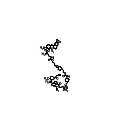 C=c1c(OC(=O)N(C)CCNC(=O)OCCCN2CC3(CCN(CCOC(=O)Nc4ccc(COC(=O)N(C)CCN(C)C(=O)n5ccc6c(N(C)C7CN(C(=O)CC#N)CCC7C)ncnc65)cc4)CC3)C2)c(OC)cc/c1=C/C1=NCCc2cc3c(cc21)OCO3